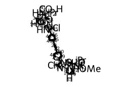 COC(=O)N[C@H](C(=O)N1[C@@H]2C[C@@H]2C[C@H]1c1nc(Cl)c(-c2ccc(C#Cc3ccc(-c4[nH]c([C@@H]5C[C@H]6C[C@H]6N5C(=O)[C@@H](NC(=O)O)C(C)C)nc4Cl)cc3)cc2)[nH]1)C(C)C